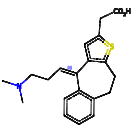 CN(C)CC/C=C1\c2ccccc2CCc2sc(CC(=O)O)cc21